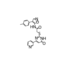 Cc1ccc(-c2cnoc2NC(=O)CSc2nc(-c3cccnc3)cc(=O)[nH]2)cc1